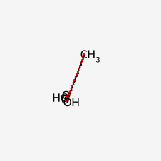 CCCCCCCCCCCCCCCCCCCCCCCCCCCCCCC(=CC(=O)O)C(=O)O